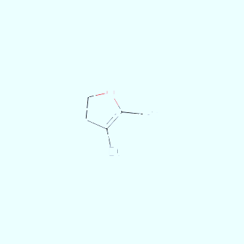 CCC1=C(C(C)C)OCC1